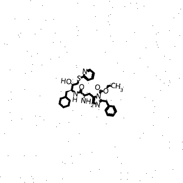 CCOC(=O)n1c(C[C@H](N)C(=O)N[C@@H](CC2CCCCC2)[C@H](O)CSc2ccccn2)cnc1Cc1ccccc1